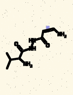 CC(C)C(N)C(=O)NNC(=O)/C=C\N